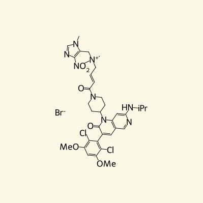 COc1cc(OC)c(Cl)c(-c2cc3cnc(NC(C)C)cc3n(C3CCN(C(=O)/C=C/C[N+](C)(C)Cc4c([N+](=O)[O-])ncn4C)CC3)c2=O)c1Cl.[Br-]